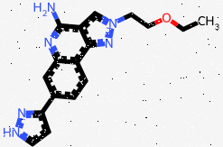 CCOCCn1cc2c(N)nc3cc(-c4cc[nH]n4)ccc3c2n1